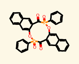 O=C1c2cc3ccccc3cc2OP(=O)(c2ccccc2)C(=O)c2cc3ccccc3cc2OP1(=O)c1ccccc1